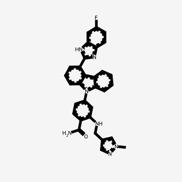 Cn1cc(CNc2cc(-n3c4ccccc4c4c(-c5nc6ccc(F)cc6[nH]5)cccc43)ccc2C(N)=O)cn1